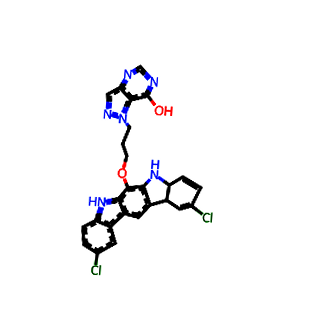 Oc1ncnc2cnn(CCCOc3c4c(cc5c3[nH]c3ccc(Cl)cc35)C3C=C(Cl)C=CC3N4)c12